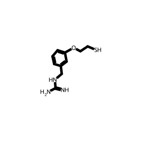 N=C(N)NCc1cccc(OCCS)c1